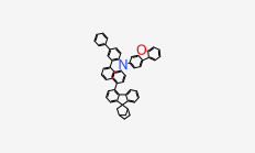 c1ccc(-c2ccc(N(c3ccc(-c4cccc5c4-c4ccccc4C54CC5CCC4C5)cc3)c3ccc4c(c3)oc3ccccc34)c(-c3ccccc3)c2)cc1